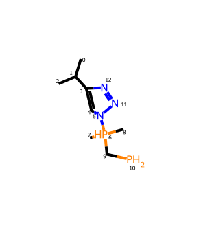 CC(C)c1cn([PH](C)(C)CP)nn1